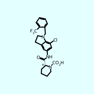 O=C(Nc1cc(Cl)c2c(c1)CCN2Cc1ccccc1C(F)(F)F)[C@H]1CCCCN1C(=O)O